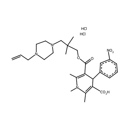 C=CCN1CCN(CC(C)(C)COC(=O)C2=C(C)N(C)C(C)=C(C(=O)O)C2c2cccc([N+](=O)[O-])c2)CC1.Cl.Cl